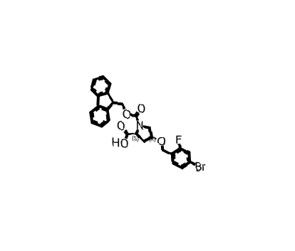 O=C(O)[C@@H]1C[C@@H](OCc2ccc(Br)cc2F)CN1C(=O)OCC1c2ccccc2-c2ccccc21